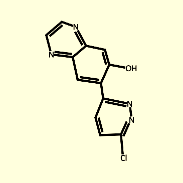 Oc1cc2nccnc2cc1-c1ccc(Cl)nn1